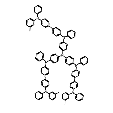 Cc1cccc(N(c2ccccc2)c2ccc(-c3ccc(N(c4ccccc4)c4ccc(N(c5ccc(N(c6ccccc6)c6ccc(-c7ccc(N(c8ccccc8)c8cccc(C)c8)cc7)cc6)cc5)c5ccc(N(c6ccccc6)c6ccc(-c7ccc(N(c8ccccc8)c8cccc(C)c8)cc7)cc6)cc5)cc4)cc3)cc2)c1